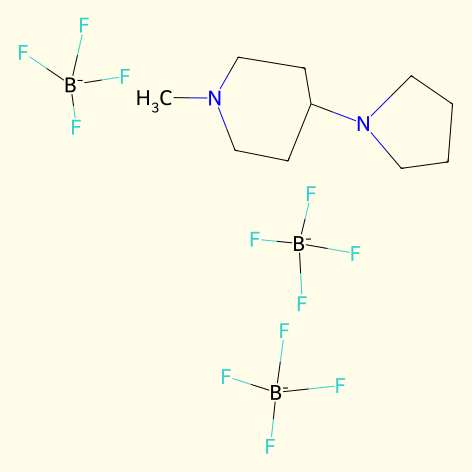 CN1CCC(N2CCCC2)CC1.F[B-](F)(F)F.F[B-](F)(F)F.F[B-](F)(F)F